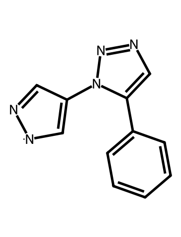 C1=N[N]C=C1n1nncc1-c1ccccc1